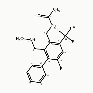 CNCc1c(COC(C)=O)c(C(F)(F)F)cc(F)c1-c1ccccc1